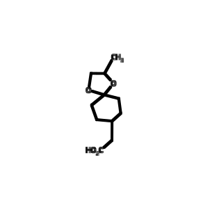 CC1COC2(CCC(CC(=O)O)CC2)O1